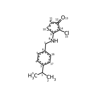 CC(C)c1ccc(CNc2ssc(=O)c2Cl)cc1